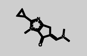 CN(C)/C=C1\Cc2nc(C3CC3)n(C)c2C1=O